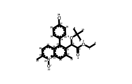 CCOC(=O)C(OC(C)(C)C)c1c(C)cc2c(ccc(C)[n+]2[O-])c1-c1ccc(Cl)cc1